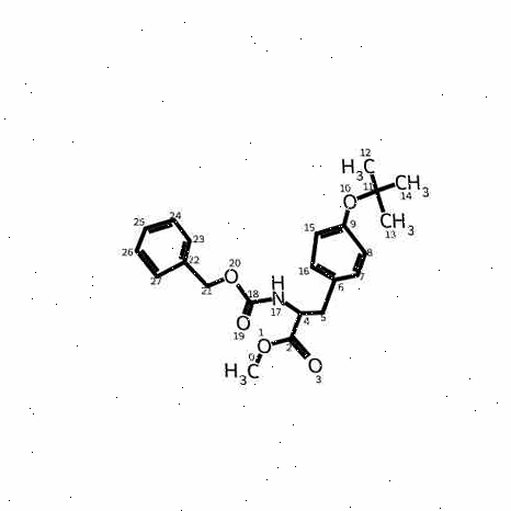 COC(=O)C(Cc1ccc(OC(C)(C)C)cc1)NC(=O)OCc1ccccc1